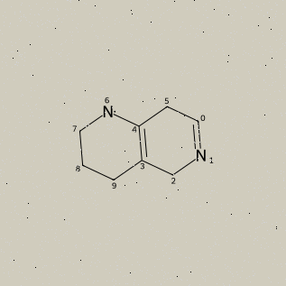 C1=NCC2=C(C1)[N]CCC2